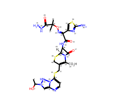 CC(O)N1C=C2N=CC=C(SCC3=C(C(=O)O)N4C(=O)C(NC(=O)C(=NOC(C)(C)C(=O)NN)c5csc(N)n5)[C@@H]4SC3)N2N1